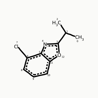 CC(C)c1nc2c(Cl)cccc2o1